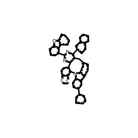 c1ccc(-c2ccc3c(c2)c2ccc4cc2n3-c2c(ccc3ccccc23)-c2nc(-c3cccc5oc6ccccc6c35)nc(-c3ccc5ccccc5c3)c2C4)cc1